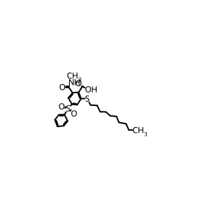 CCCCCCCCCCSc1cc(S(=O)(=O)c2ccccc2)cc(C(=O)NC)c1C(=O)O